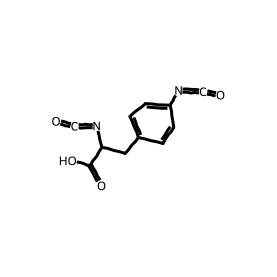 O=C=Nc1ccc(CC(N=C=O)C(=O)O)cc1